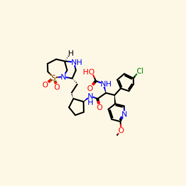 COc1ccc([C@H](c2ccc(Cl)cc2)[C@H](NC(=O)O)C(=O)N[C@H]2CCC[C@@H]2CC[C@H]2CN[C@@H]3CCCS(=O)(=O)N2C3)cn1